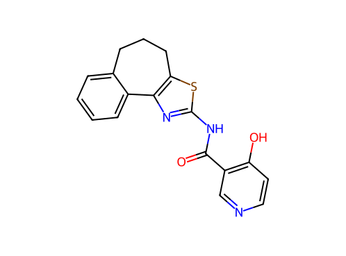 O=C(Nc1nc2c(s1)CCCc1ccccc1-2)c1cnccc1O